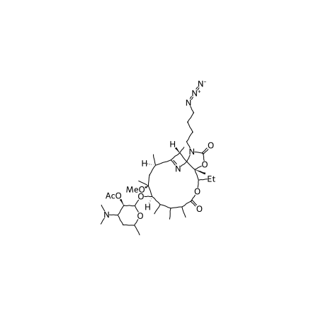 CCC1OC(=O)C(C)C(C)C(C)[C@@H](OC2OC(C)CC(N(C)C)[C@H]2OC(C)=O)[C@@](C)(OC)C[C@@H](C)C2=NC3([C@H]2C)N(CCCCN=[N+]=[N-])C(=O)O[C@]13C